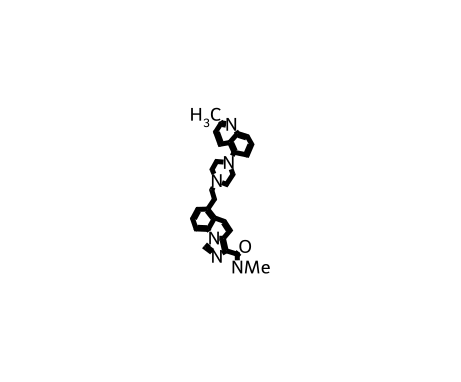 CNC(=O)c1ncn2c1ccc1c(CCN3CCN(c4cccc5nc(C)ccc45)CC3)cccc12